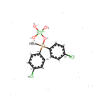 CCCCS(O[Cl+3]([O-])([O-])[O-])(c1ccc(Cl)cc1)c1ccc(Cl)cc1